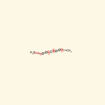 CCCCCC(=O)Oc1ccc(-c2ccc(OC(=O)[C@H]3CC[C@H](C(=O)Oc4ccc(-c5ccc(OCCOCCOC)cc5)cc4)CC3)cc2)cc1